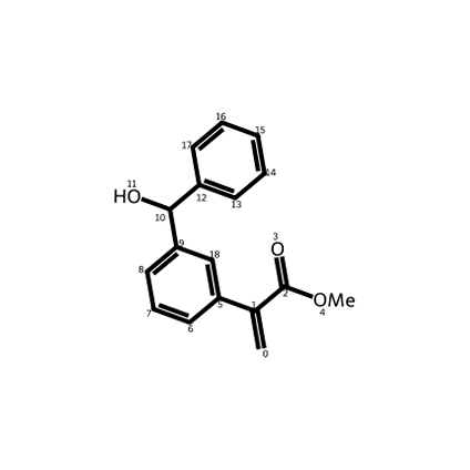 C=C(C(=O)OC)c1cccc(C(O)c2ccccc2)c1